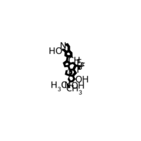 CN(C)[C@H]1C[C@@]23CC[C@@]4(O2)C(=C(C(F)(F)F)C[C@]2(C)C(c5ccc6ccnc(O)c6c5)=CCC24)C=C3[C@@H](O)[C@@H]1O